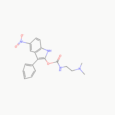 CN(C)CCNC(=O)Oc1[nH]c2ccc([N+](=O)[O-])cc2c1-c1ccccc1